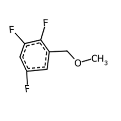 COCc1cc(F)cc(F)c1F